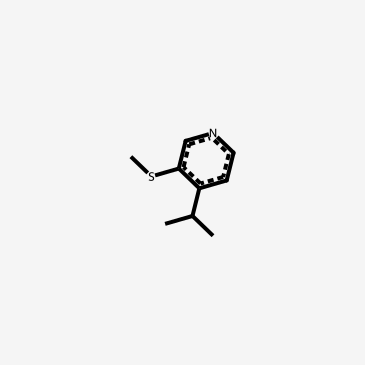 CSc1cnccc1C(C)C